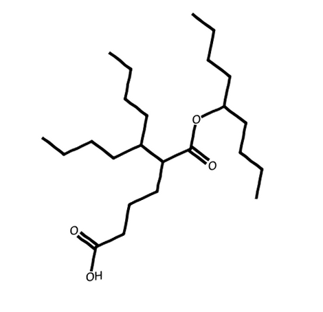 CCCCC(CCCC)OC(=O)C(CCCC(=O)O)C(CCCC)CCCC